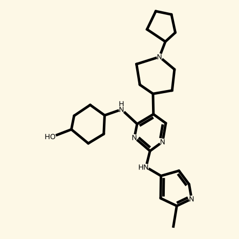 Cc1cc(Nc2ncc(C3CCN(C4CCCC4)CC3)c(NC3CCC(O)CC3)n2)ccn1